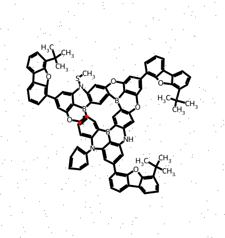 CSN1c2cc3c(cc2B2c4ccccc4Oc4cc(-c5cccc6c5oc5c(C(C)(C)C)cccc56)cc1c42)B1c2cc4c(cc2Oc2cc(-c5cccc6c5oc5c(C(C)(C)C)cccc56)cc(c21)O3)Nc1cc(-c2cccc3c2oc2c(C(C)(C)C)cccc23)cc2c1B4c1ccccc1N2c1ccccc1